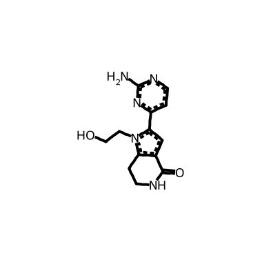 Nc1nccc(-c2cc3c(n2CCO)CCNC3=O)n1